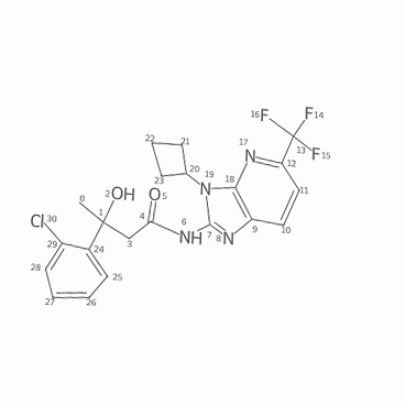 CC(O)(CC(=O)Nc1nc2ccc(C(F)(F)F)nc2n1C1CCC1)c1ccccc1Cl